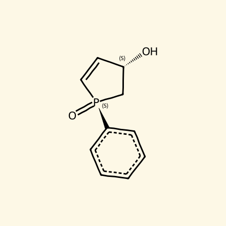 O=[P@]1(c2ccccc2)C=C[C@H](O)C1